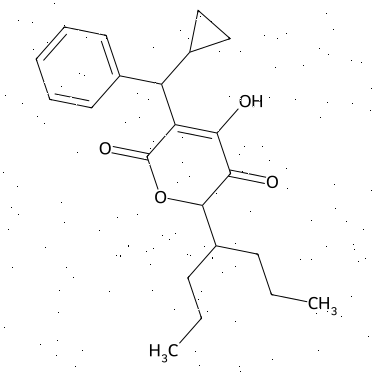 CCCC(CCC)C1OC(=O)C(C(c2ccccc2)C2CC2)=C(O)C1=O